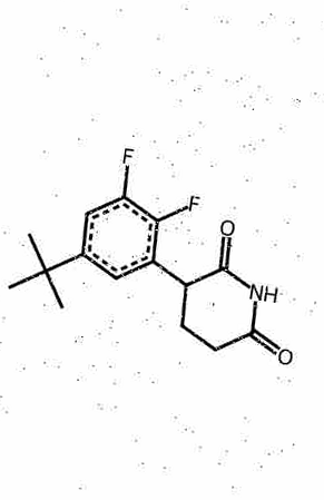 CC(C)(C)c1cc(F)c(F)c(C2CCC(=O)NC2=O)c1